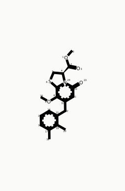 COC(=O)[C@@H]1CSc2c(OC)c(Cc3cccc(C)c3C)cc(=O)n21